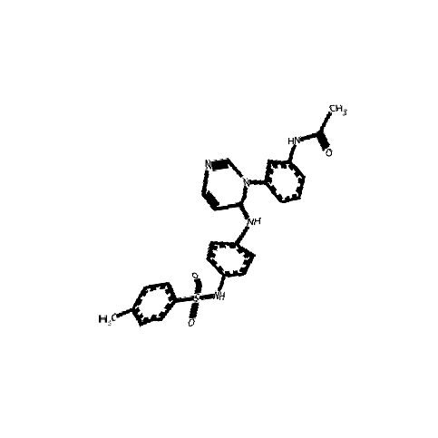 CC(=O)Nc1cccc(N2C=NC=CC2Nc2ccc(NS(=O)(=O)c3ccc(C)cc3)cc2)c1